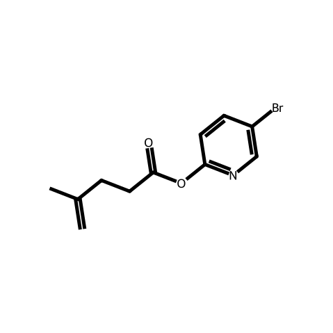 C=C(C)CCC(=O)Oc1ccc(Br)cn1